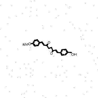 COc1ccc(/C=C/C(=O)CCC(=O)/C=C/c2ccc(CO)cc2)cc1